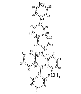 Cc1ccccc1-c1c2ccccc2c(-c2ccc3cc(-c4ccncc4)ccc3c2)c2ccccc12